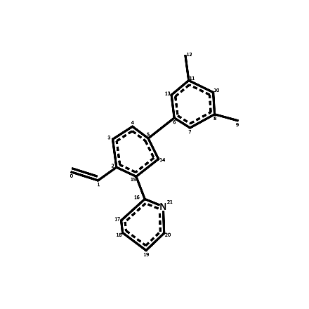 C=Cc1ccc(-c2cc(C)cc(C)c2)cc1-c1ccccn1